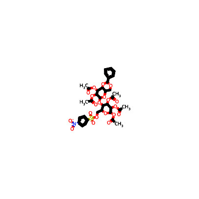 CC(=O)OC1OC(COS(=O)(=O)c2ccc([N+](=O)[O-])cc2)C(OC2OC3COC(c4ccccc4)OC3C(OC(C)=O)C2OC(C)=O)C(OC(C)=O)C1OC(C)=O